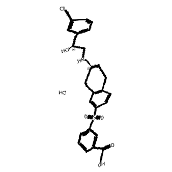 Cl.O=C(O)c1cccc(S(=O)(=O)c2ccc3c(c2)C[C@@H](NC[C@H](O)c2cccc(Cl)c2)CC3)c1